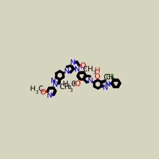 COc1cc(-n2nc3c(c2C)C[C@@H](N2Cc4ncc(OC)[n+](-c5cc6c(c(OC)c5)CN([C@@H]5CCc7nn(-c8ccccc8Cl)c(C)c7[C@@H]5O)C6)c4C2)CC3)ccn1